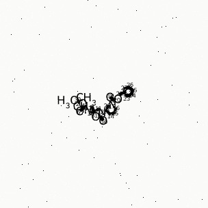 CC(C)(C)OC(=O)N1CC2(C1)CN(C1CCCN(C(=O)OCc3ccccc3)C1)C(=O)O2